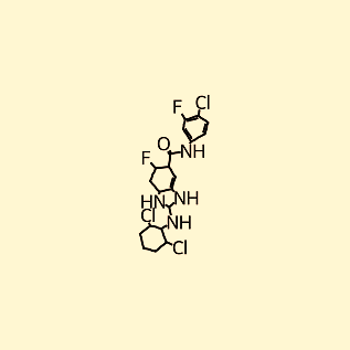 O=C(Nc1ccc(Cl)c(F)c1)C1C=C2NC(NC3C(Cl)CCCC3Cl)NC2CC1F